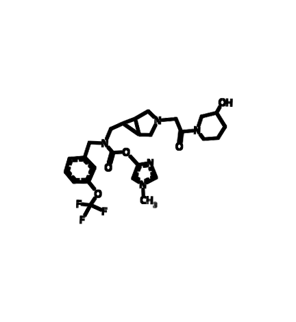 Cn1cnc(OC(=O)N(Cc2cccc(OC(F)(F)F)c2)CC2C3CN(CC(=O)N4CCCC(O)C4)CC32)c1